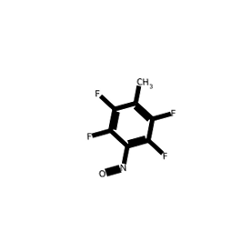 Cc1c(F)c(F)c(N=O)c(F)c1F